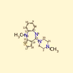 CN1CCN(C2=Nc3ccccc3N(C)c3sccc32)CC1